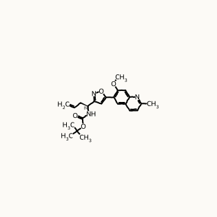 C=CC[C@H](NC(=O)OC(C)(C)C)c1cc(-c2cc3ccc(C)nc3cc2OC)on1